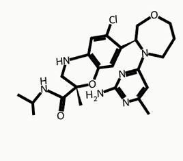 Cc1cc(N2CCCOC[C@@H]2c2cc3c(cc2Cl)NC[C@@](C)(C(=O)NC(C)C)O3)nc(N)n1